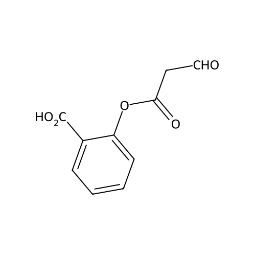 O=CCC(=O)Oc1ccccc1C(=O)O